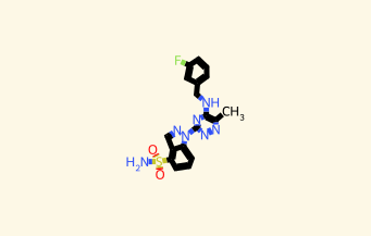 Cc1nnc(-n2ncc3c(S(N)(=O)=O)cccc32)nc1NCc1cccc(F)c1